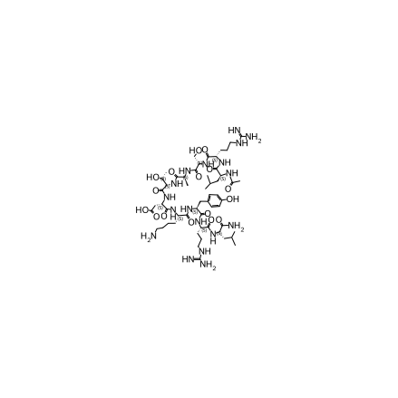 CC(=O)N[C@@H](CC(C)C)C(=O)N[C@@H](CCCNC(=N)N)C(=O)N[C@@H](CO)C(=O)N[C@@H](C)C(=O)N[C@H](C(=O)N[C@@H](CC(=O)O)C(=O)N[C@@H](CCCCN)C(=O)N[C@@H](Cc1ccc(O)cc1)C(=O)N[C@@H](CCCNC(=N)N)C(=O)N[C@@H](CC(C)C)C(N)=O)[C@@H](C)O